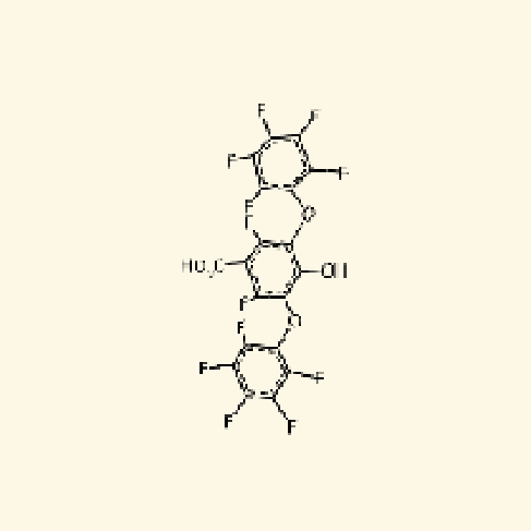 O=C(O)c1c(F)c(Oc2c(F)c(F)c(F)c(F)c2F)c(O)c(Oc2c(F)c(F)c(F)c(F)c2F)c1F